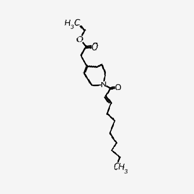 CCCCCCCC=CC(=O)N1CCC(CC(=O)OCC)CC1